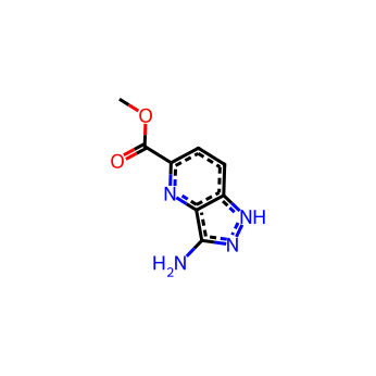 COC(=O)c1ccc2[nH]nc(N)c2n1